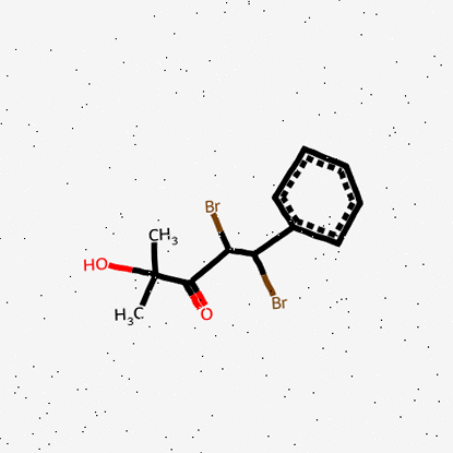 CC(C)(O)C(=O)C(Br)C(Br)c1ccccc1